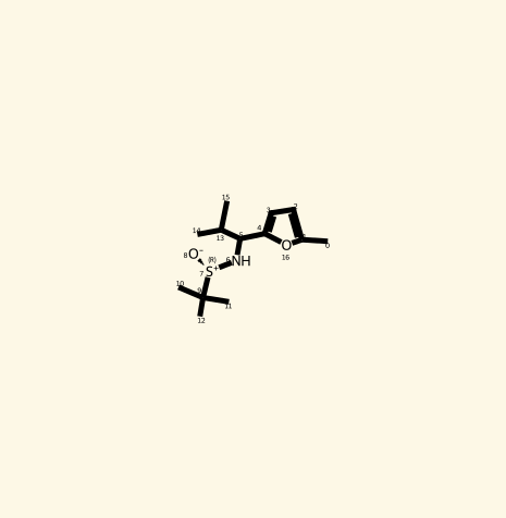 Cc1ccc(C(N[S@@+]([O-])C(C)(C)C)C(C)C)o1